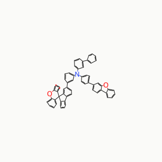 c1ccc(-c2cccc(N(c3ccc(-c4ccc5c(c4)oc4ccccc45)cc3)c3cccc(-c4ccc5c(c4)C4(c6ccccc6Oc6ccccc64)c4ccccc4-5)c3)c2)cc1